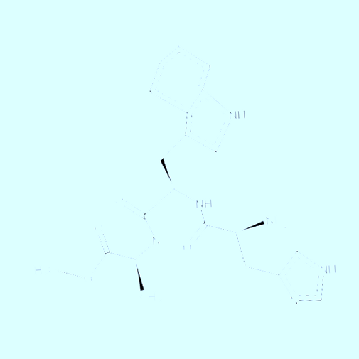 COC(=O)[C@H](C)NC(=O)[C@@H](Cc1c[nH]c2ccccc12)NC(=O)[C@@H](N)Cc1c[nH]cn1